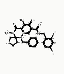 CN1C(=O)c2c(O)c(=O)c(C(=O)NCc3ccc(F)cc3F)cn2N(Cc2ccccc2)C12CCOC2